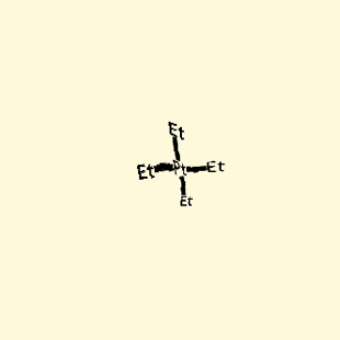 C[CH2][Pt]([CH2]C)([CH2]C)[CH2]C